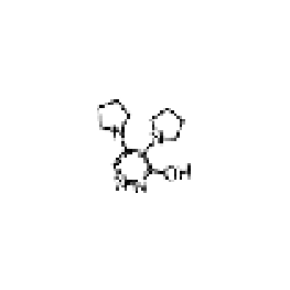 Oc1nncc(N2CCCC2)c1N1CCCC1